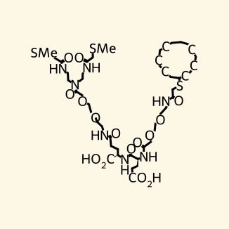 CSCC(=O)NCCN(CCNC(=O)CSC)C(=O)COCCOCCNC(=O)CC[C@H](NC(=O)[C@H](CCC(=O)O)NC(=O)COCCOCCNC(=O)CSC1CCCCCCCCCCCCCC1)C(=O)O